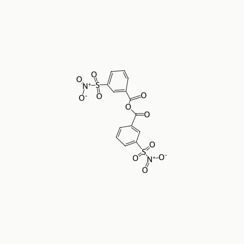 O=C(OC(=O)c1cccc(S(=O)(=O)[N+](=O)[O-])c1)c1cccc(S(=O)(=O)[N+](=O)[O-])c1